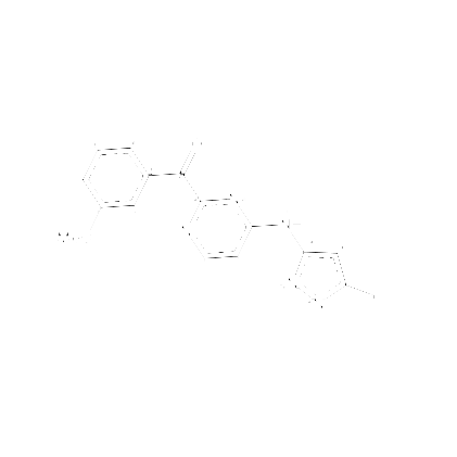 COc1cccc(C(=O)c2nccc(Nc3cc(C)[nH]n3)n2)c1